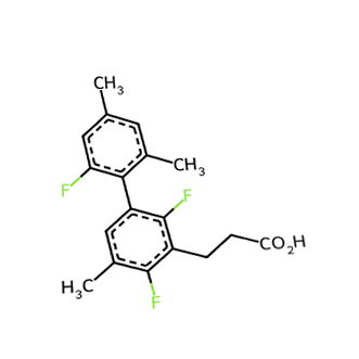 Cc1cc(C)c(-c2cc(C)c(F)c(CCC(=O)O)c2F)c(F)c1